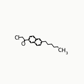 CCCCCCc1ccc2cc(C(=O)CCl)ccc2c1